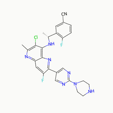 Cc1nc2cc(F)c(-c3cnc(N4CCNCC4)nc3)nc2c(N[C@H](C)c2cc(C#N)ccc2F)c1Cl